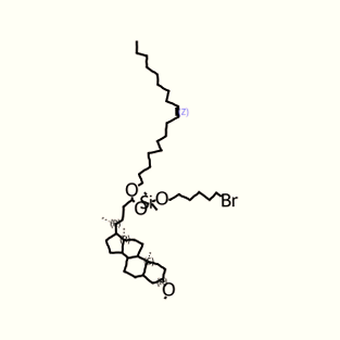 CCCCCCCC/C=C\CCCCCCCCOC(CC[C@@H](C)C1CCC2C3CCC4C[C@H](OC)CC[C@]4(C)C3CC[C@@]21C)O[Si](C)(C)OCCCCCCBr